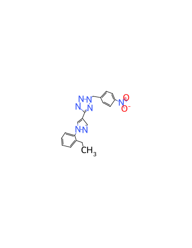 CCc1ccccc1-n1cc(-c2nnn(Cc3ccc([N+](=O)[O-])cc3)n2)cn1